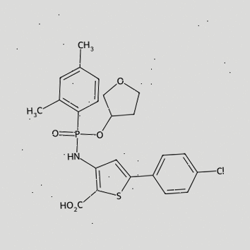 Cc1ccc(P(=O)(Nc2cc(-c3ccc(Cl)cc3)sc2C(=O)O)OC2CCOC2)c(C)c1